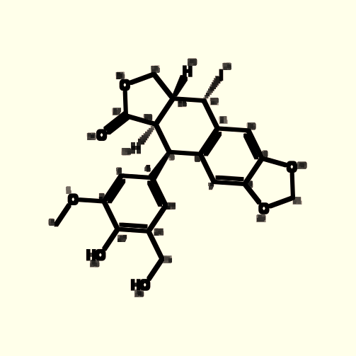 COc1cc([C@@H]2c3cc4c(cc3[C@@H](I)[C@H]3COC(=O)[C@H]23)OCO4)cc(CO)c1O